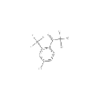 O=C(c1cnc(O)nc1C(F)(F)F)C(Cl)(Cl)Cl